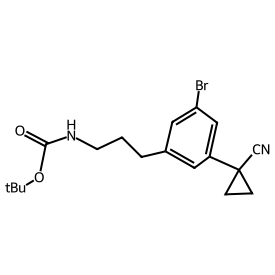 CC(C)(C)OC(=O)NCCCc1cc(Br)cc(C2(C#N)CC2)c1